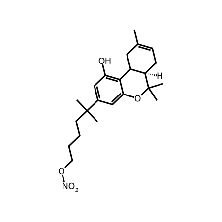 CC1=CC[C@@H]2C(C1)c1c(O)cc(C(C)(C)CCCCO[N+](=O)[O-])cc1OC2(C)C